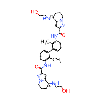 Cc1c(NC(=O)c2cc3n(n2)CCC[C@@H]3NCCO)cccc1-c1cccc(NC(=O)c2cc3n(n2)CCC[C@@H]3NCCO)c1C